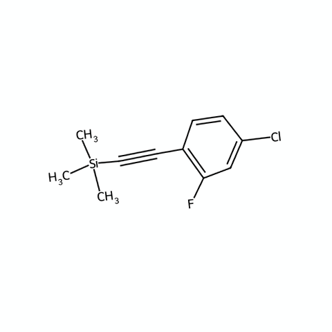 C[Si](C)(C)C#Cc1ccc(Cl)cc1F